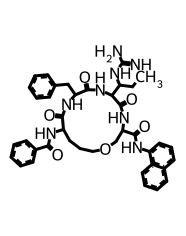 CCC(NC(=N)N)C1NC(=O)C(Cc2ccccc2)NC(=O)C(NC(=O)c2ccccc2)CCCOCC(C(=O)Nc2cccc3ccccc23)NC1=O